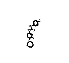 O=C(Nc1ccc(Cl)cc1)Nc1ccc(N2CCCCCC2)c(F)c1